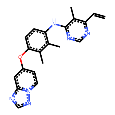 C=Cc1ncnc(Nc2ccc(Oc3ccn4ncnc4c3)c(C)c2C)c1C